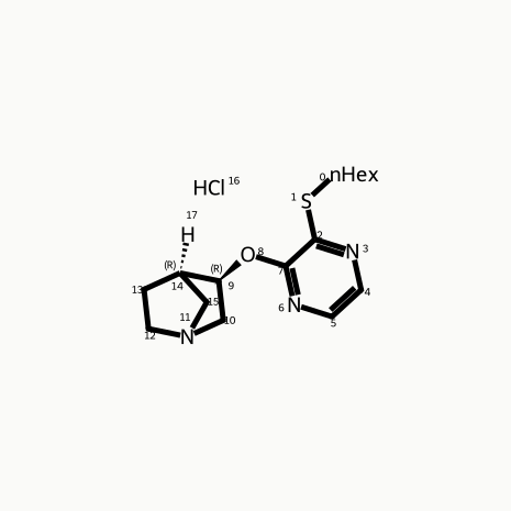 CCCCCCSc1nccnc1O[C@H]1CN2CC[C@@H]1C2.Cl